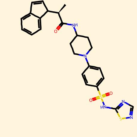 C[C@@H](C(=O)NC1CCN(c2ccc(S(=O)(=O)Nc3ncns3)cc2)CC1)C1C=Cc2ccccc21